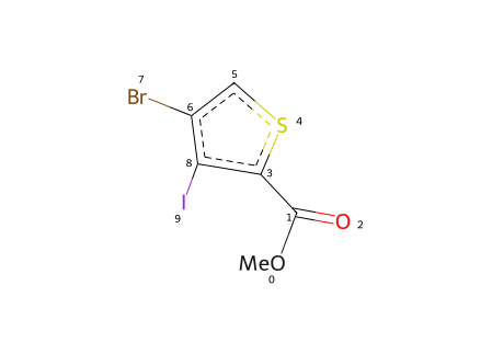 COC(=O)c1scc(Br)c1I